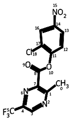 Cc1ncc(C(F)(F)F)nc1C(=O)Oc1ccc([N+](=O)[O-])cc1Cl